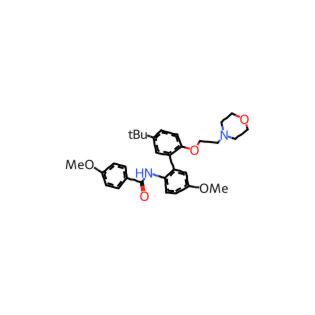 COc1ccc(C(=O)Nc2ccc(OC)cc2-c2cc(C(C)(C)C)ccc2OCCN2CCOCC2)cc1